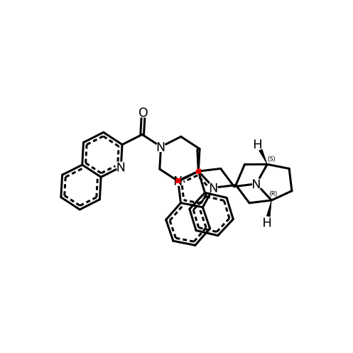 Cc1nc2ccccc2n1C1C[C@H]2CC[C@@H](C1)N2CCC1(c2ccccc2)CCN(C(=O)c2ccc3ccccc3n2)CC1